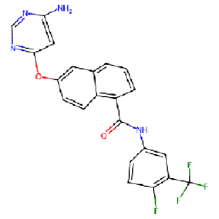 Nc1cc(Oc2ccc3c(C(=O)Nc4ccc(F)c(C(F)(F)F)c4)cccc3c2)ncn1